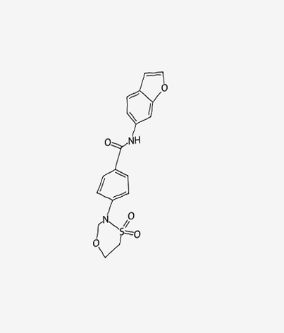 O=C(Nc1ccc2ccoc2c1)c1ccc(N2COCCS2(=O)=O)cc1